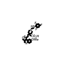 COc1ccc2ncc(CO)c(C(F)CCC3(CC(=O)O)CCN(CCNc4c(F)cc(F)cc4F)CC3)c2c1